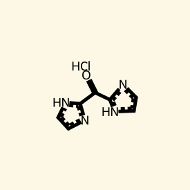 Cl.O=C(c1ncc[nH]1)c1ncc[nH]1